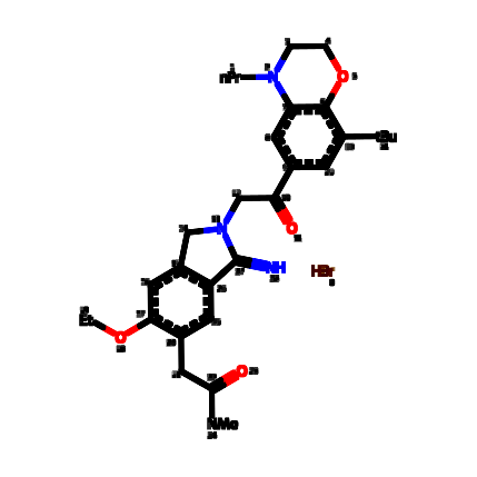 Br.CCCN1CCOc2c1cc(C(=O)CN1Cc3cc(OCC)c(CC(=O)NC)cc3C1=N)cc2C(C)(C)C